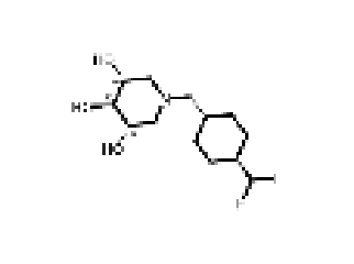 O[C@H]1[C@H](O)CN(C[C@H]2CC[C@H](C(F)F)CC2)C[C@@H]1O